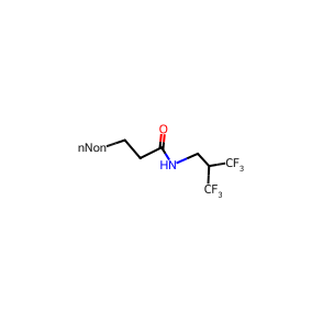 CCCCCCCCCCCC(=O)NCC(C(F)(F)F)C(F)(F)F